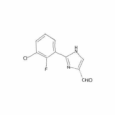 O=Cc1c[nH]c(-c2cccc(Cl)c2F)n1